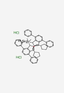 Cl.Cl.[CH3][Zr]([CH3])(=[SiH2])([CH]1C(CC2CCCC2)=Cc2c(-c3ccccc3)ccc(-c3ccccc3)c21)[CH]1C(CC2CCCC2)=Cc2c(-c3ccccc3)ccc(-c3ccccc3)c21